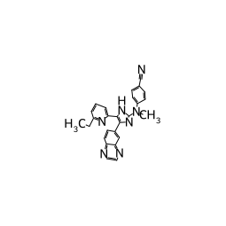 CCc1cccc(-c2[nH]c(N(C)c3ccc(C#N)cc3)nc2-c2ccc3nccnc3c2)n1